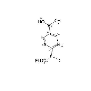 CCOC(=O)C(C)c1ncc(B(O)O)cn1